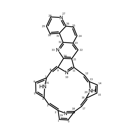 C1=Cc2cc3ccc(cc4nc(cc5ccc(cc1n2)[nH]5)-c1cc2ccc5ncccc5c2nc1-4)[nH]3